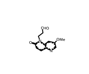 COc1cnc2ccc(=O)n(CCC=O)c2c1